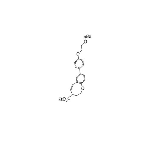 CCCCOCCOc1ccc(-c2ccc3c(c2)C=CC(C(=O)OCC)CCO3)cc1